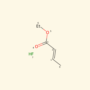 C/C=C/C(=O)OCC.F